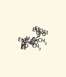 CCO[Si](/C=C/[Si](C)(C)O[Si](C)(C)/C=C/[Si](OCC)(OCC)OCC)(OCC)OCC